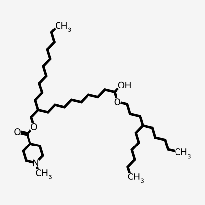 CCCCCCCCCCC(CCCCCCCCC(O)OCCCC(CCCCC)CCCCCC)COC(=O)C1CCN(C)CC1